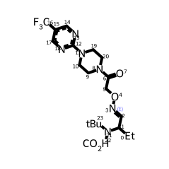 CCC(/C=N/OCC(=O)N1CCN(c2ncc(C(F)(F)F)cn2)CC1)N(C(=O)O)C(C)(C)C